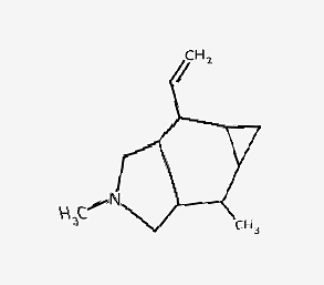 C=CC1C2CC2C(C)C2CN(C)CC12